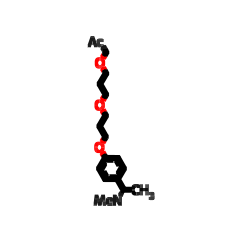 CN[C@H](C)c1ccc(OCCCOCCCOCC(C)=O)cc1